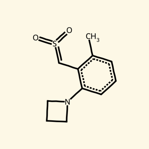 Cc1cccc(N2CCC2)c1C=S(=O)=O